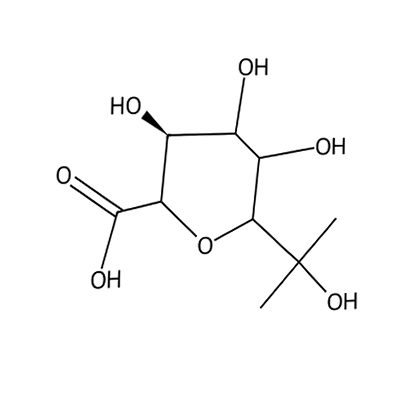 CC(C)(O)C1OC(C(=O)O)[C@@H](O)C(O)C1O